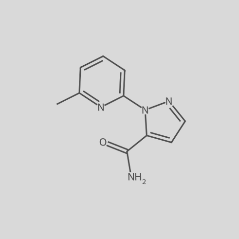 Cc1cccc(-n2nccc2C(N)=O)n1